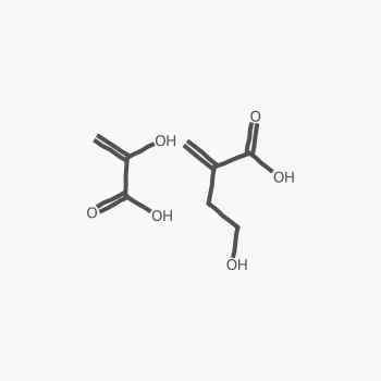 C=C(CCO)C(=O)O.C=C(O)C(=O)O